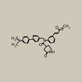 COC(=O)/C=C/c1cccc(N(Cc2ccc(-c3ccc(N(C)C)cc3)cc2)C(=O)C2CCNC(=O)C2)c1